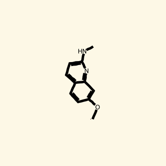 [CH2]Oc1ccc2ccc(NC)nc2c1